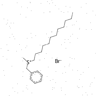 CCCCCCCCCCCC[S+](C)Cc1ccccc1.[Br-]